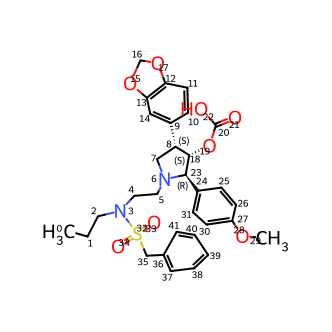 CCCN(CCN1C[C@H](c2ccc3c(c2)OCO3)[C@H](OC(=O)O)[C@H]1c1ccc(OC)cc1)S(=O)(=O)Cc1ccccc1